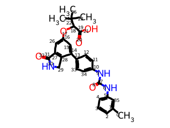 Cc1cccc(NC(=O)Nc2ccc(-c3cc(OC(C(=O)O)C(C)(C)C)cc4c3CNC4=O)cc2)c1